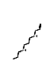 C=CCNCCCNCCC